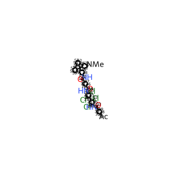 CNc1ccc(C2(c3ccc(NC(=O)c4ccc(C(=O)Nc5cc(Cl)c(-c6cc(Cl)c(NC(=O)c7ccc(C(C)=O)cc7)cc6Cl)cc5Cl)cc4)cc3)c3ccccc3-c3ccccc32)cc1